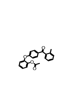 CC(=O)Oc1ccccc1Oc1ccc(C(=O)c2ccccc2C)cc1